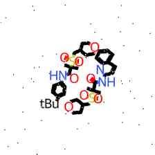 CC(C)(C(=O)Nc1ccc2ccccc2n1)S(=O)(=O)CC1CCOCC1.CC(C)(C)c1ccc(NC(=O)C(C)(C)S(=O)(=O)CC2CCOCC2)cc1